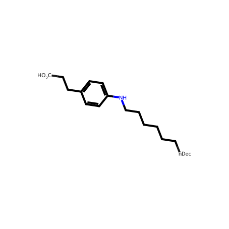 CCCCCCCCCCCCCCCCNc1ccc(CCC(=O)O)cc1